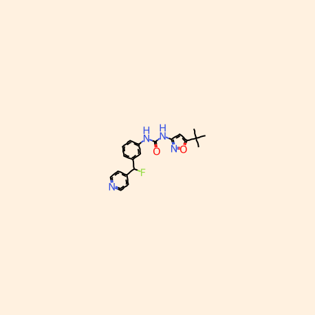 CC(C)(C)c1cc(NC(=O)Nc2cccc(C(F)c3ccncc3)c2)no1